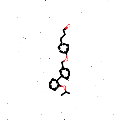 CC(C)Oc1ccccc1-c1cccc(COc2ccc(CCC=O)cc2)c1